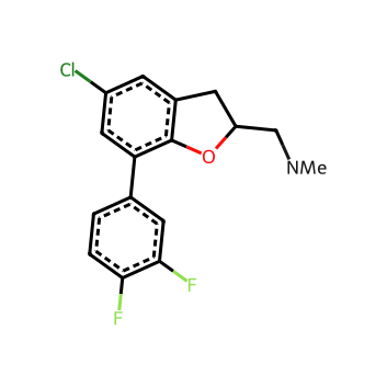 CNCC1Cc2cc(Cl)cc(-c3ccc(F)c(F)c3)c2O1